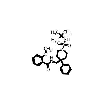 COc1ccccc1C(=O)NCC1(c2ccccc2)CCN(S(=O)(=O)NC(C)(C)C)CC1